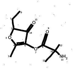 CCC1OC(C)=C(OC(=O)C(C)(C)N)C1=O